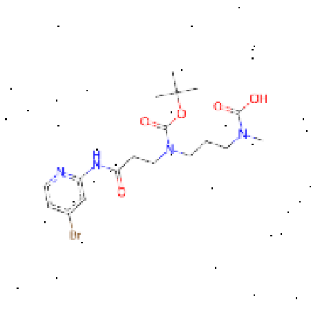 CN(CCCN(CCC(=O)Nc1cc(Br)ccn1)C(=O)OC(C)(C)C)C(=O)O